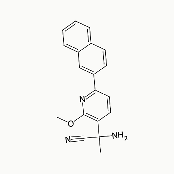 COc1nc(-c2ccc3ccccc3c2)ccc1C(C)(N)C#N